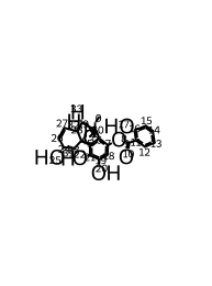 CN1CC[C@]23c4c5c(OC(=O)c6ccccc6O)cc(O)c4O[C@H]2[C@@H](O)C=C[C@H]3[C@H]1C5